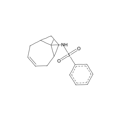 CC1(NS(=O)(=O)c2ccccc2)C2CC=CCC1CC2